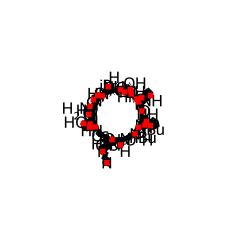 CCCC[C@H]1C(=O)N(C)[C@@H](CCCC)C(=O)N[C@@H](CC(C)C)C(=O)N[C@H](C(=O)NCC(=O)N(C)CCCN(C)C)CSCC(=O)N[C@@H](Cc2ccc(O)cc2)C(=O)N(C)[C@@H](C)C(=O)N[C@@H](CC(N)=O)C(=O)N2CCC[C@H]2C(=O)N[C@@H](CN)C(=O)N[C@@H](CC(C)C)C(=O)N2C[C@H](O)C[C@H]2C(=O)N[C@@H](Cc2c[nH]c3ccccc23)C(=O)NCC(=O)NC(Cc2c[nH]c3ccccc23)C(=O)N1C